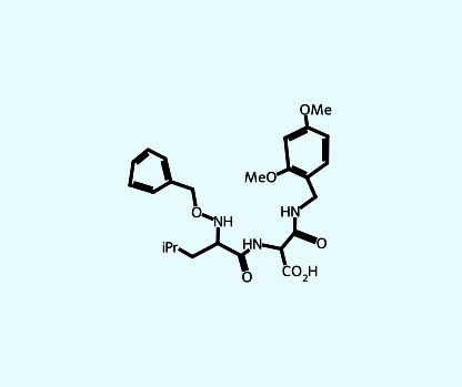 COc1ccc(CNC(=O)C(NC(=O)C(CC(C)C)NOCc2ccccc2)C(=O)O)c(OC)c1